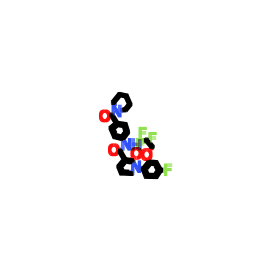 O=C(Nc1ccc(C(=O)N2CCCCC2)cc1)c1cccn(-c2ccc(F)cc2OCC(F)(F)F)c1=O